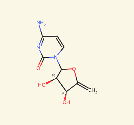 C=C1OC(n2ccc(N)nc2=O)[C@H](O)[C@@H]1O